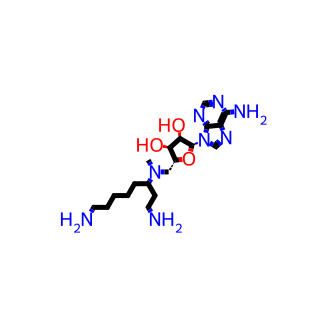 CN(C[C@H]1O[C@@H](n2cnc3c(N)ncnc32)[C@H](O)[C@@H]1O)C(CCN)CCCCCN